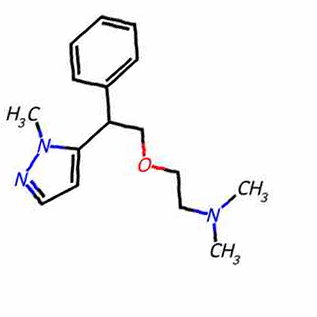 CN(C)CCOCC(c1ccccc1)c1ccnn1C